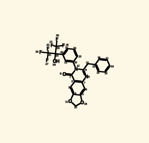 O=c1c2cc3c(cc2nc(Cc2ccccc2)n1-c1cccc(C(O)(C(F)(F)F)C(F)(F)F)c1)OCO3